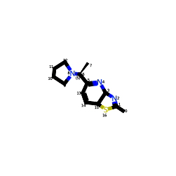 CC1=NC2N=C([C@H](C)N3CCCC3)C=CC2S1